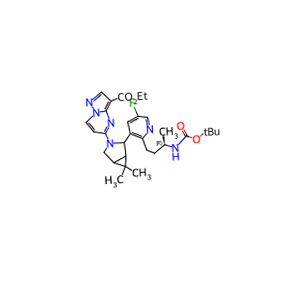 CCOC(=O)c1cnn2ccc(N3CC4C(C3c3cc(F)cnc3CC[C@@H](C)NC(=O)OC(C)(C)C)C4(C)C)nc12